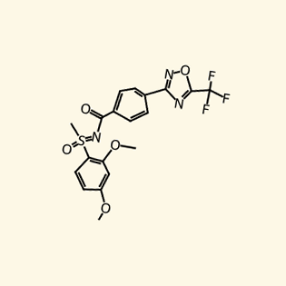 COc1ccc(S(C)(=O)=NC(=O)c2ccc(-c3noc(C(F)(F)F)n3)cc2)c(OC)c1